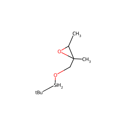 CC1OC1(C)CO[SiH2]C(C)(C)C